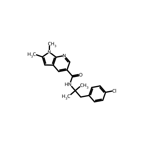 Cc1cc2cc(C(=O)NC(C)(C)Cc3ccc(Cl)cc3)cnc2n1C